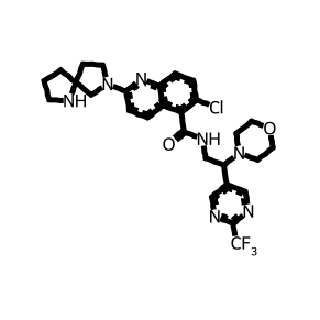 O=C(NCC(c1cnc(C(F)(F)F)nc1)N1CCOCC1)c1c(Cl)ccc2nc(N3CCC4(CCCN4)C3)ccc12